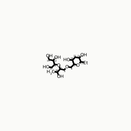 CCC1OC(COCC(OC(CO)C(O)CO)C(C)O)C(O)CC1O